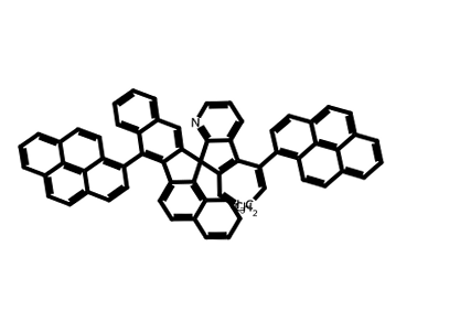 C=CC1=C(/C(=C\C)c2ccc3ccc4cccc5ccc2c3c45)c2cccnc2C12c1cc3ccccc3c(-c3ccc4ccc5cccc6ccc3c4c56)c1-c1ccc3c(c12)CCC=C3